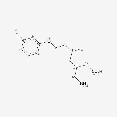 CC(CCOc1cccc(F)c1)CC(CN)CC(=O)O